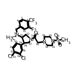 CN(Cc1ccc(C(F)(F)F)c(F)c1)C1CN(C(=O)CN2CCN(S(C)(=O)=O)CC2)CC1c1ccc(Cl)c(Cl)c1